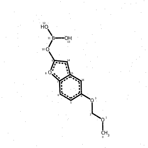 COCOc1ccc2oc(OB(O)O)cc2c1